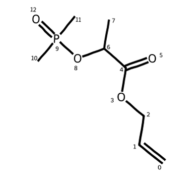 C=CCOC(=O)C(C)OP(C)(C)=O